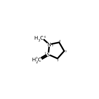 C=S1CCCN1C